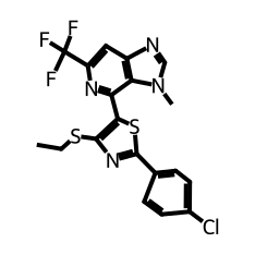 CCSc1nc(-c2ccc(Cl)cc2)sc1-c1nc(C(F)(F)F)cc2ncn(C)c12